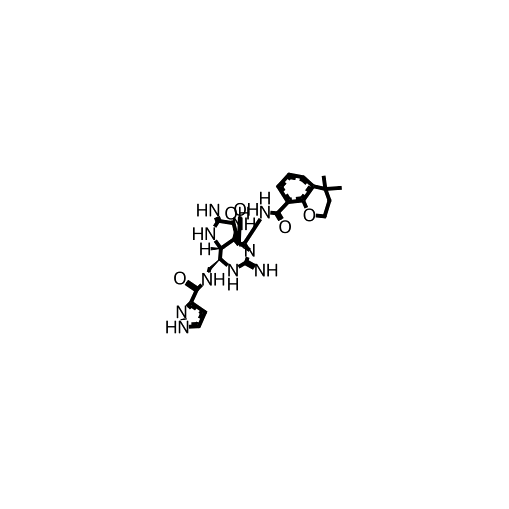 CC1(C)CCOc2c(C(=O)NC3CN4C(=N)N[C@@H](CNC(=O)c5cc[nH]n5)[C@@H]5NC(=N)NC54C3(O)O)cccc21